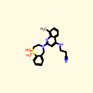 Cc1cccc2c(NCCC#N)cc(N3CCS(O)(O)c4ccccc4C3)nc12